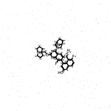 CCc1c(F)ccc2cc(O)cc(-c3c(F)cc4c(N5CC6CCC(C5)N6)nc(OCC56CCCN5CCC6)nc4c3F)c12